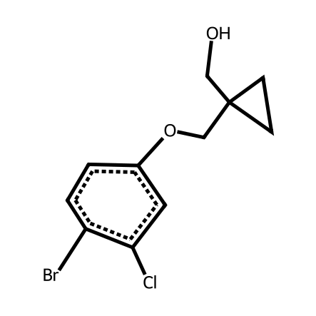 OCC1(COc2ccc(Br)c(Cl)c2)CC1